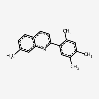 Cc1ccc2ccc(-c3cc(C)c(C)cc3C)nc2c1